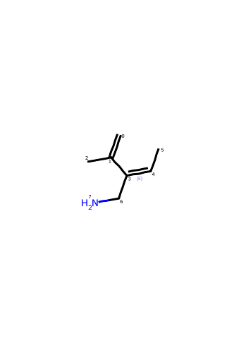 C=C(C)/C(=C\C)CN